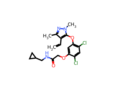 C=Cc1c(C)nn(C)c1Oc1cc(OCC(=O)NCC2CC2)c(Cl)cc1Cl